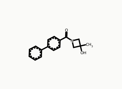 CC1(O)CN(C(=O)c2ccc(-c3ccccc3)cc2)C1